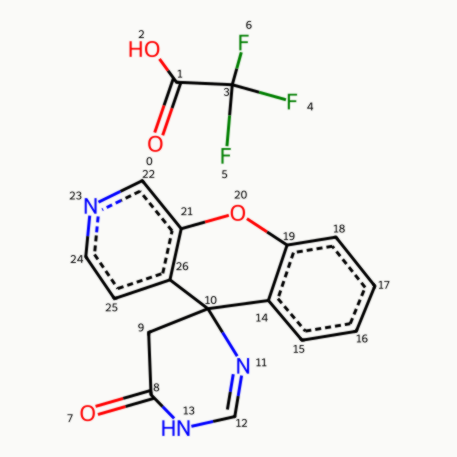 O=C(O)C(F)(F)F.O=C1CC2(N=CN1)c1ccccc1Oc1cnccc12